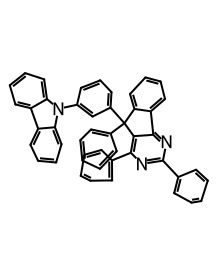 c1ccc(-c2nc(-c3ccccc3)c3c(n2)-c2ccccc2C3(c2ccccc2)c2cccc(-n3c4ccccc4c4ccccc43)c2)cc1